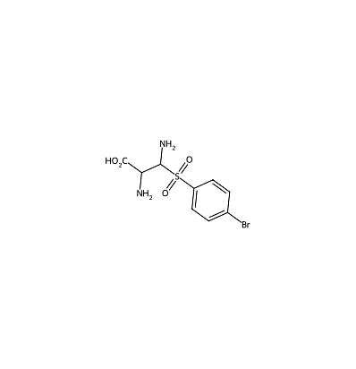 NC(C(=O)O)C(N)S(=O)(=O)c1ccc(Br)cc1